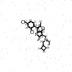 CCN(Cc1c(C)nn2c(-c3ccc(Cl)cc3Cl)c(C)oc12)CC1CCC1